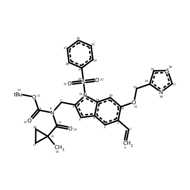 C=Cc1cc2cc(CN(C(=O)OC(C)(C)C)C(=O)C3(C)CC3)n(S(=O)(=O)c3ccccc3)c2cc1OCc1cscn1